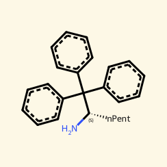 CCCCC[C@H](N)C(c1ccccc1)(c1ccccc1)c1ccccc1